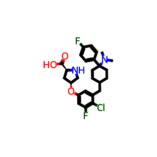 CN(C)C1(c2ccc(F)cc2)CCC(Cc2cc(O[C@@H]3CN[C@H](C(=O)O)C3)cc(F)c2Cl)CC1